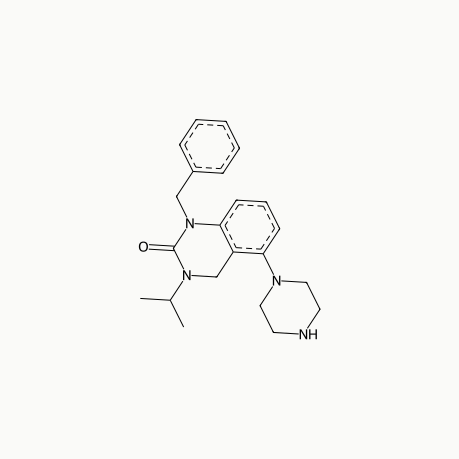 CC(C)N1Cc2c(N3CCNCC3)cccc2N(Cc2ccccc2)C1=O